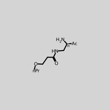 CCCOCCC(=O)NC[C@@H](N)C(C)=O